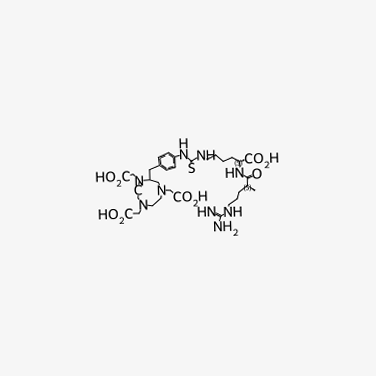 C[C@@H](CCCNC(=N)N)C(=O)N[C@@H](CCCCNC(=S)Nc1ccc(CC2CN(CC(=O)O)CCN(CC(=O)O)CCN2CC(=O)O)cc1)C(=O)O